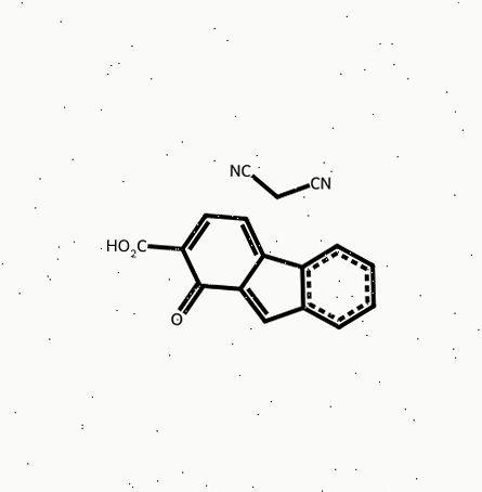 N#CCC#N.O=C(O)C1=CC=C2C(=Cc3ccccc32)C1=O